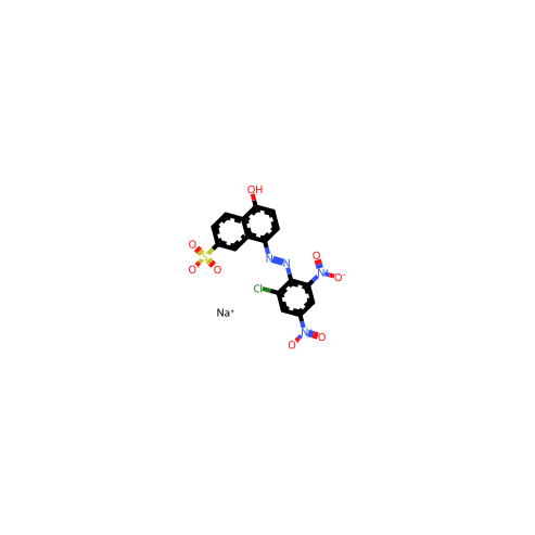 O=[N+]([O-])c1cc(Cl)c(/N=N/c2ccc(O)c3ccc(S(=O)(=O)[O-])cc23)c([N+](=O)[O-])c1.[Na+]